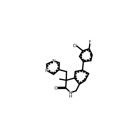 CC1(Cc2cncnc2)C(=O)NCc2ccc(-c3ccc(F)c(Cl)c3)cc21